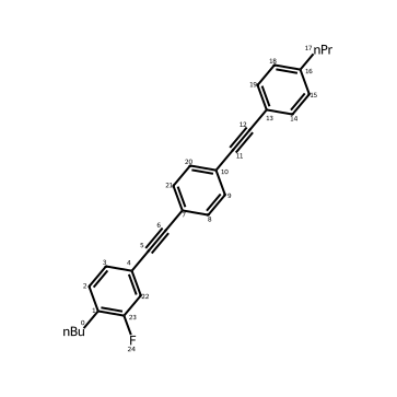 CCCCc1ccc(C#Cc2ccc(C#Cc3ccc(CCC)cc3)cc2)cc1F